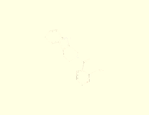 COc1ccccc1C(=O)N1CCc2c([nH]c3ccccc23)C1